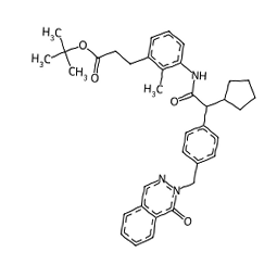 Cc1c(CCC(=O)OC(C)(C)C)cccc1NC(=O)C(c1ccc(Cn2ncc3ccccc3c2=O)cc1)C1CCCC1